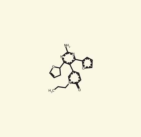 CCCn1cc(-c2c(-c3ccco3)nc(N)nc2C2CC=CO2)ccc1=O